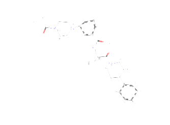 CC(C)[C@@H](NC(=O)c1cccc(N2CCN(C(=O)OC(C)(C)C)CC2)c1)C(=O)N1CCC(c2ccc(Cl)cc2)CC1